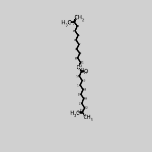 C=C(C)CCCCCCCCCOC(=O)CCCCCCCCC(=C)C